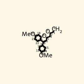 C=CC(=O)CC(=O)C=C(c1ccc(OC)cc1)c1ccc(OC)cc1